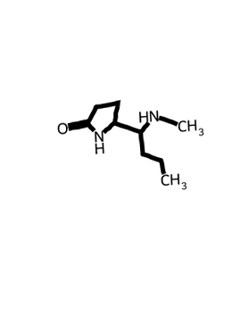 CCCC(NC)C1CCC(=O)N1